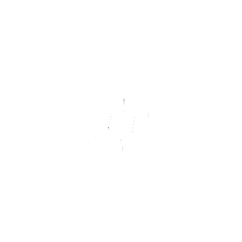 C=C(C)C1C(Cl)C=C(C)C(=O)C1Cl